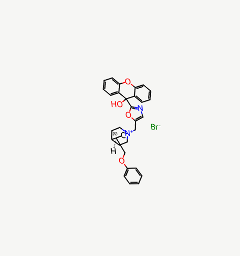 OC1(c2ncc(C[N+]34CCC(CC3)[C@H](COc3ccccc3)C4)o2)c2ccccc2Oc2ccccc21.[Br-]